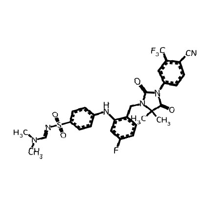 CN(C)C=NS(=O)(=O)c1ccc(Nc2cc(F)ccc2CN2C(=O)N(c3ccc(C#N)c(C(F)(F)F)c3)C(=O)C2(C)C)cc1